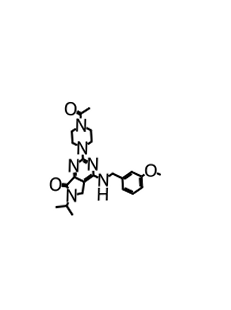 COc1cccc(CNc2nc(N3CCN(C(C)=O)CC3)nc3c2CN(C(C)C)C3=O)c1